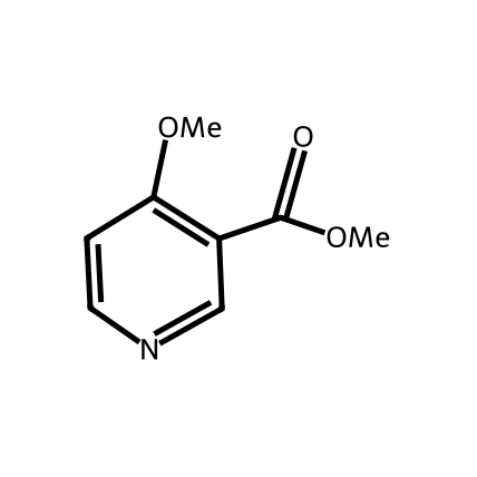 COC(=O)c1cnccc1OC